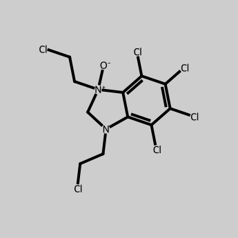 [O-][N+]1(CCCl)CN(CCCl)c2c(Cl)c(Cl)c(Cl)c(Cl)c21